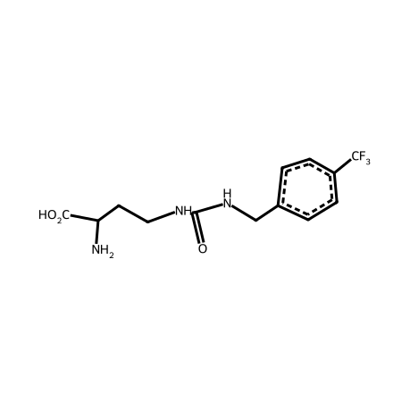 NC(CCNC(=O)NCc1ccc(C(F)(F)F)cc1)C(=O)O